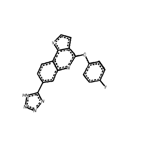 Fc1ccc(Oc2nc3cc(-c4nnn[nH]4)ccc3c3sccc23)cc1